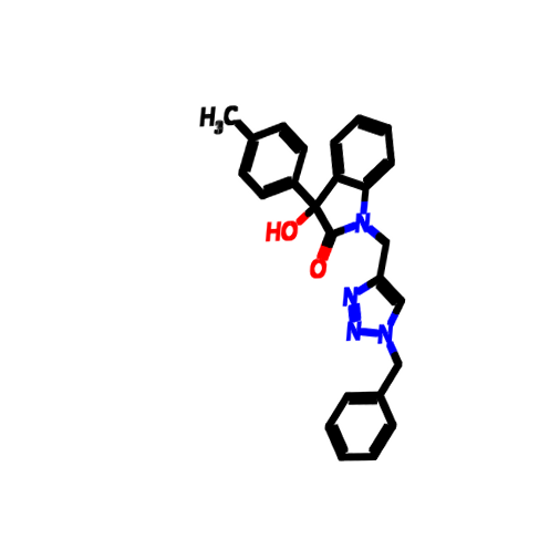 Cc1ccc(C2(O)C(=O)N(Cc3cn(Cc4ccccc4)nn3)c3ccccc32)cc1